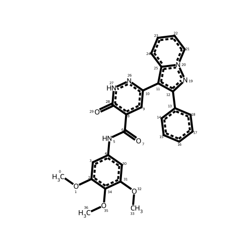 COc1cc(NC(=O)c2cc(-c3c(-c4ccccc4)nn4ccccc34)n[nH]c2=O)cc(OC)c1OC